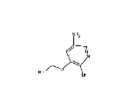 CCOc1cc(N)cnc1Br